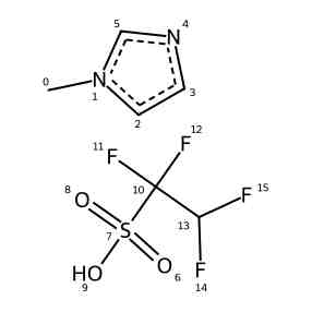 Cn1ccnc1.O=S(=O)(O)C(F)(F)C(F)F